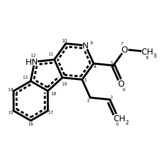 C=CCc1c(C(=O)OC)ncc2[nH]c3ccccc3c12